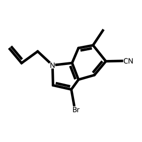 C=CCn1cc(Br)c2cc(C#N)c(C)cc21